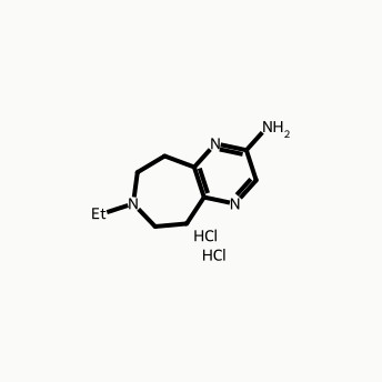 CCN1CCc2ncc(N)nc2CC1.Cl.Cl